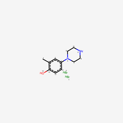 Br.Br.Cc1cc(N2CCNCC2)ccc1O